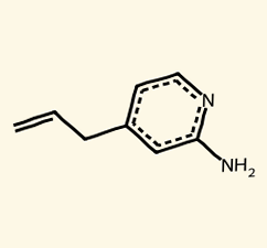 C=CCc1ccnc(N)c1